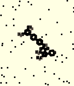 Cc1cc(C)nc(N2CCN(c3ccc(NC(=O)C(=O)c4c(C5CCOCC5)cc(C)n4C)cc3)CC2)c1